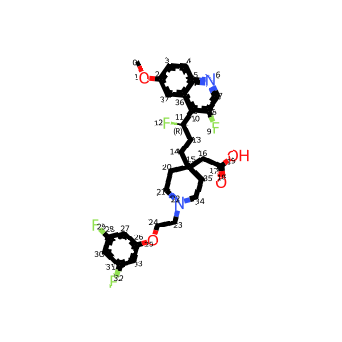 COc1ccc2ncc(F)c([C@H](F)CCC3(CC(=O)O)CCN(CCOc4cc(F)cc(F)c4)CC3)c2c1